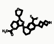 CC(=O)N1CCc2c(c(N3CCCc4cc(C5CC6(CNC6)C5)c(C(F)F)cc43)nn2C2CCOCC2)C1